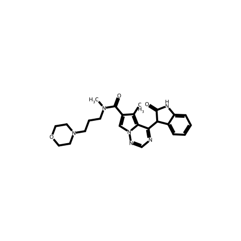 Cc1c(C(=O)N(C)CCCN2CCOCC2)cn2ncnc(C3C(=O)Nc4ccccc43)c12